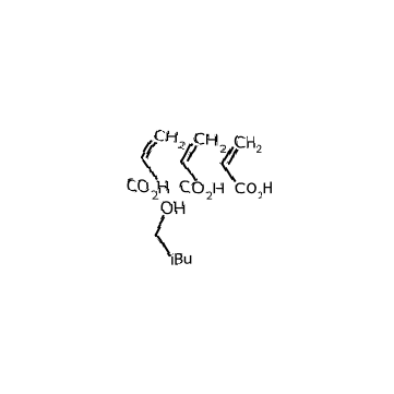 C=CC(=O)O.C=CC(=O)O.C=CC(=O)O.CCC(C)CO